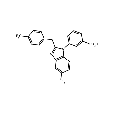 O=C(O)c1cccc(-n2c(Cc3ccc(C(F)(F)F)cc3)nc3cc(C(F)(F)F)ccc32)c1